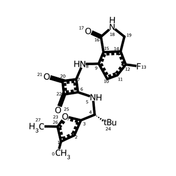 Cc1cc([C@H](Nc2c(Nc3ccc(F)c4c3C(=O)NC4)c(=O)c2=O)C(C)(C)C)oc1C